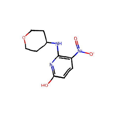 O=[N+]([O-])c1ccc(O)nc1NC1CCOCC1